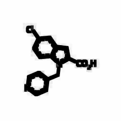 O=C(O)c1cc2cc(Cl)ccc2n1Cc1ccncc1